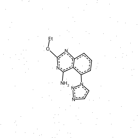 CCOc1nc(N)c2c(-n3ccnn3)cccc2n1